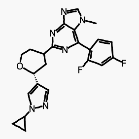 Cn1cnc2nc(C3CCO[C@@H](c4cnn(C5CC5)c4)C3)nc(-c3ccc(F)cc3F)c21